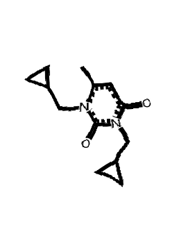 Cc1cc(=O)n(CC2CC2)c(=O)n1CC1CC1